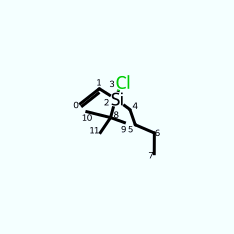 C=C[Si](Cl)(CCCC)C(C)(C)C